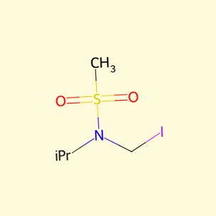 CC(C)N(CI)S(C)(=O)=O